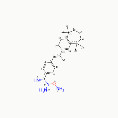 C/C(=C\c1ccc(C(=N)N(N)ON)cc1)C1=CC2=C(CC1)C(C)(C)CCCC2(C)C